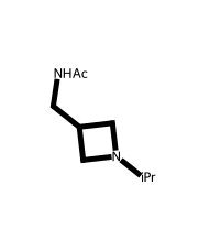 CC(=O)NCC1CN(C(C)C)C1